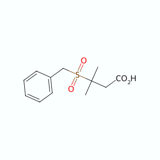 CC(C)(CC(=O)O)S(=O)(=O)Cc1ccccc1